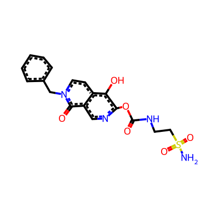 NS(=O)(=O)CCNC(=O)Oc1ncc2c(=O)n(Cc3ccccc3)ccc2c1O